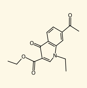 CCOC(=O)c1cn(CC)c2cc(C(C)=O)ccc2c1=O